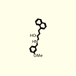 COc1cccc(CNC[C@H](O)[CH]Cc2cccc3ccccc23)c1